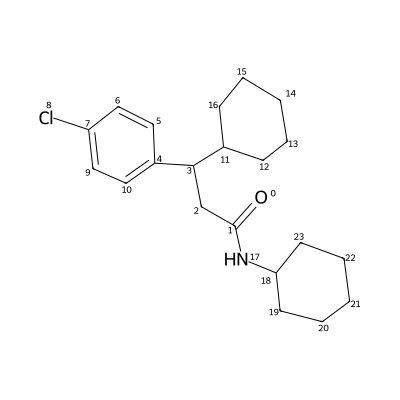 O=C(CC(c1ccc(Cl)cc1)C1CCCCC1)NC1CCCCC1